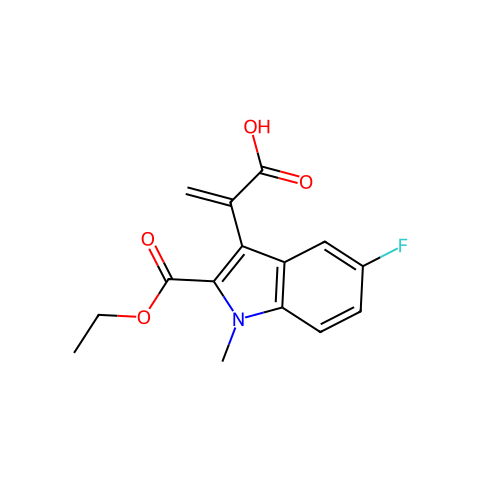 C=C(C(=O)O)c1c(C(=O)OCC)n(C)c2ccc(F)cc12